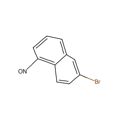 O=Nc1cccc2cc(Br)ccc12